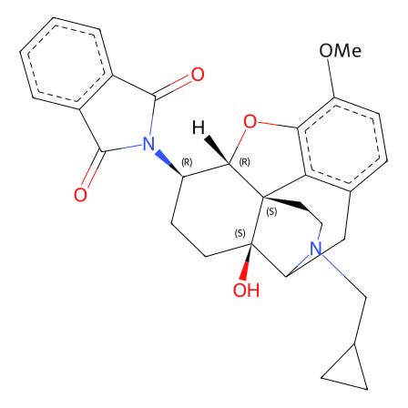 COc1ccc2c3c1O[C@H]1[C@H](N4C(=O)c5ccccc5C4=O)CC[C@@]4(O)C(C2)N(CC2CC2)CC[C@]314